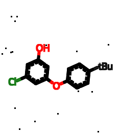 CC(C)(C)c1ccc(Oc2cc(O)cc(Cl)c2)cc1